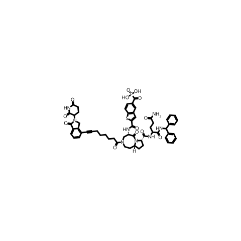 NC(=O)CCC(NC(=O)[C@@H]1CC[C@@H]2CCN(C(=O)CCCCCC#Cc3cccc4c3CN(C3CCC(=O)NC3=O)C4=O)C[C@H](NC(=O)c3cc4cc(C(=O)P(=O)(O)O)ccc4s3)C(=O)N21)C(=O)NC(c1ccccc1)c1ccccc1